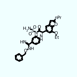 CCCc1cc2cc([C@H](Nc3ccc(C(=N)NOCc4ccccc4)cc3)C(=O)NS(N)(=O)=O)cc(OCC)c2o1